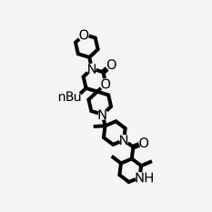 CCCCC1CN(C2CCOCC2)C(=O)OC12CCN(C1(C)CCN(C(=O)C3C(C)CCNC3C)CC1)CC2